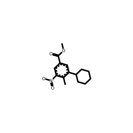 COC(=O)c1cc(C2CCCCC2)c(C)c([N+](=O)[O-])c1